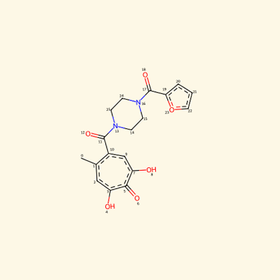 Cc1cc(O)c(=O)c(O)cc1C(=O)N1CCN(C(=O)c2ccco2)CC1